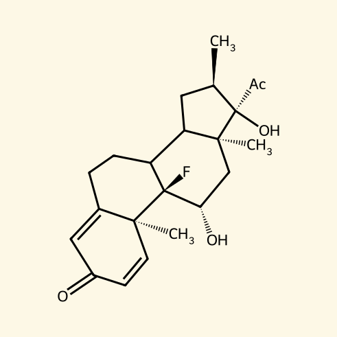 [CH2]C(=O)[C@@]1(O)[C@H](C)CC2C3CCC4=CC(=O)C=C[C@]4(C)[C@@]3(F)[C@@H](O)C[C@@]21C